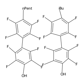 CCC(C)c1c(F)c(F)c(-c2c(F)c(F)c(O)c(F)c2F)c(F)c1F.CCCCCc1c(F)c(F)c(-c2c(F)c(F)c(O)c(F)c2F)c(F)c1F